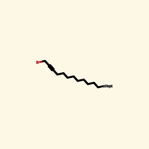 CCCCCCCCCCCCCCCCC#CCBr